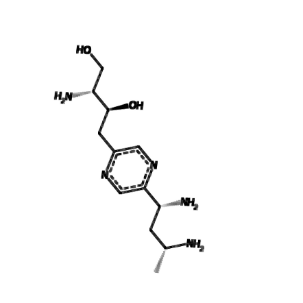 C[C@@H](N)C[C@@H](N)c1cnc(C[C@H](O)[C@H](N)CO)cn1